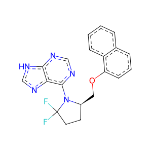 FC1(F)CC[C@H](COc2cccc3ccccc23)N1c1ncnc2[nH]cnc12